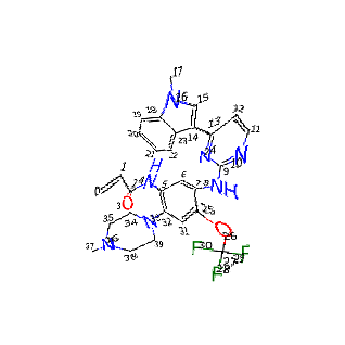 C=CC(=O)Nc1cc(Nc2nccc(-c3cn(C)c4ccccc34)n2)c(OC(F)(F)F)cc1N1CCN(C)CC1